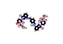 CC(C)(C)OC(=O)N1C(=O)CCC(N2Cc3c(NCc4ccc(CNc5cccc6c5CN(C5CCC(=O)N(C(=O)OC(C)(C)C)C5=O)C6=O)cc4)cccc3C2=O)C1=O